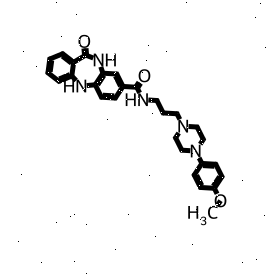 COc1ccc(N2CCN(CCCNC(=O)c3ccc4c(c3)NC(=O)c3ccccc3N4)CC2)cc1